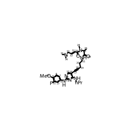 CCCNc1nc(Nc2ccc(OC)c(F)c2)ncc1C#CCCCNC(=O)C(C)N(C)C(=O)C=CCN(C)C